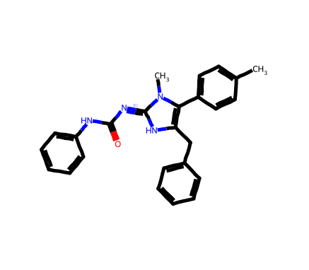 Cc1ccc(-c2c(Cc3ccccc3)[nH]/c(=N\C(=O)Nc3ccccc3)n2C)cc1